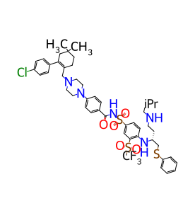 CC(C)CNCC[C@H](CSc1ccccc1)Nc1ccc(S(=O)(=O)NC(=O)c2ccc(N3CCN(CC4=C(c5ccc(Cl)cc5)CC(C)(C)CC4)CC3)cc2)cc1S(=O)(=O)C(F)(F)F